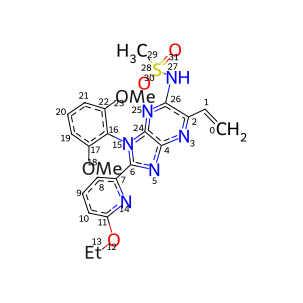 C=Cc1nc2nc(-c3cccc(OCC)n3)n(-c3c(OC)cccc3OC)c2nc1NS(C)(=O)=O